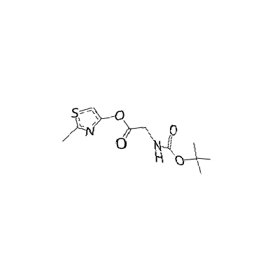 Cc1nc(OC(=O)CNC(=O)OC(C)(C)C)cs1